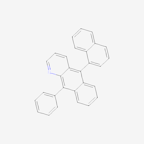 c1ccc(-c2c3ccccc3c(-c3cccc4ccccc34)c3cccnc23)cc1